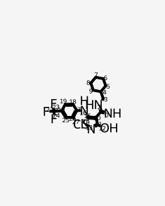 N=C(NCC1CCCCC1)c1c(O)nsc1Nc1ccc(C(F)(F)F)cc1Cl